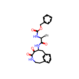 CC(C)C(NC(=O)OCc1ccccc1)C(=O)NC1Cc2cccc(c2)CCNC(=O)C1=O